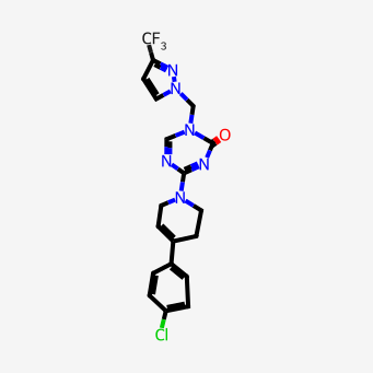 O=c1nc(N2CC=C(c3ccc(Cl)cc3)CC2)ncn1Cn1ccc(C(F)(F)F)n1